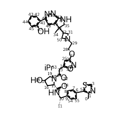 Cc1ncsc1-c1ccc([C@H](C)NC(=O)[C@@H]2C[C@@H](O)CN2C(=O)[C@@H](c2cc(OCCN3CC(C4(C)CNc5nnc(-c6ccccc6O)cc54)C3)no2)C(C)C)cc1